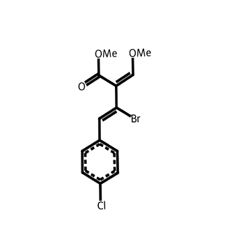 COC=C(C(=O)OC)C(Br)=Cc1ccc(Cl)cc1